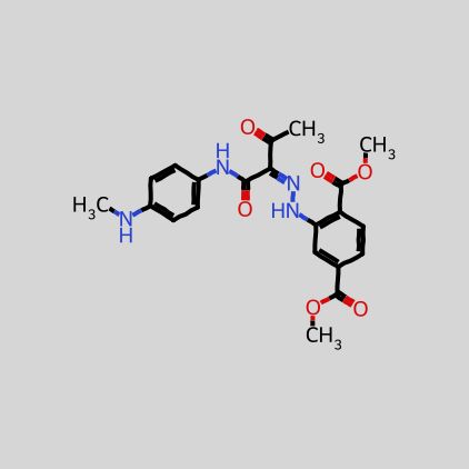 CNc1ccc(NC(=O)/C(=N\Nc2cc(C(=O)OC)ccc2C(=O)OC)C(C)=O)cc1